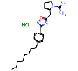 CCCCCCCCc1ccc(-c2noc(CC3CCCN3C(=N)N)n2)cc1.Cl